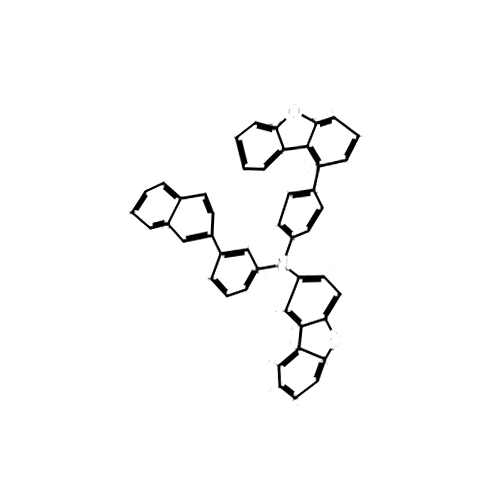 c1cc(-c2ccc3ccccc3c2)cc(N(c2ccc(-c3cccc4oc5ccccc5c34)cc2)c2ccc3oc4ccccc4c3c2)c1